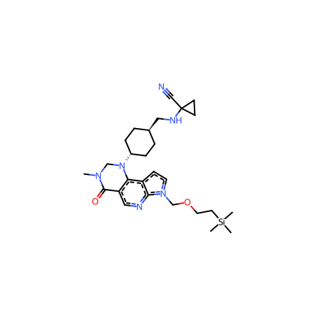 CN1CN([C@H]2CC[C@H](CNC3(C#N)CC3)CC2)c2c(cnc3c2ccn3COCC[Si](C)(C)C)C1=O